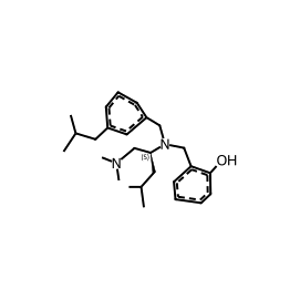 CC(C)Cc1cccc(CN(Cc2ccccc2O)[C@@H](CC(C)C)CN(C)C)c1